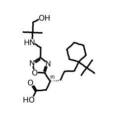 CC(C)(CO)NCc1noc([C@H](CCCC2(C(C)(C)C)CCCCC2)CC(=O)O)n1